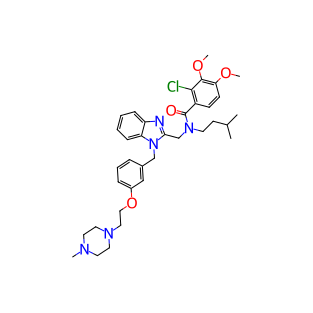 COc1ccc(C(=O)N(CCC(C)C)Cc2nc3ccccc3n2Cc2cccc(OCCN3CCN(C)CC3)c2)c(Cl)c1OC